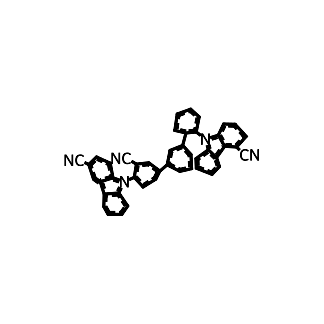 N#Cc1ccc2c(c1)c1ccccc1n2-c1ccc(-c2cccc(-c3ccccc3-n3c4ccccc4c4c(C#N)cccc43)c2)cc1C#N